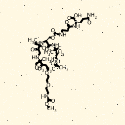 CCC(C)(NCC(=O)C(C)(CC)N[C@@H](COC(=O)NCCC(=O)N[C@@H](CCC(N)=O)C(=O)O)C(=O)NC(C)(C)CCOC(C)(C)C)C(=O)CCOCCOCCNC(=O)OC